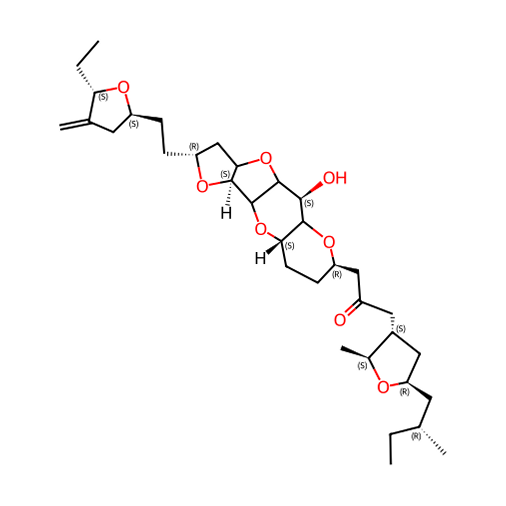 C=C1C[C@H](CC[C@@H]2CC3OC4C(O[C@H]5CC[C@H](CC(=O)C[C@@H]6C[C@@H](C[C@H](C)CC)O[C@H]6C)OC5[C@@H]4O)[C@H]3O2)O[C@H]1CC